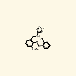 COc1cccc(CNc2nn[nH]n2)c1OCc1ccccc1Cl